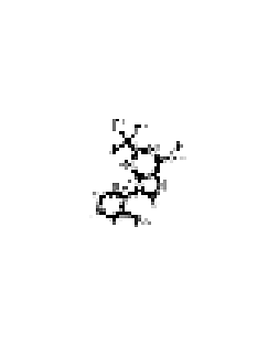 CNc1nc(C(F)(F)F)nc2c1ncn2-c1ccccc1F